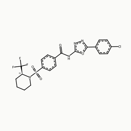 O=C(Nc1nnc(-c2ccc(Cl)cc2)o1)c1ccc(S(=O)(=O)N2CCCC[C@H]2C(F)(F)F)cc1